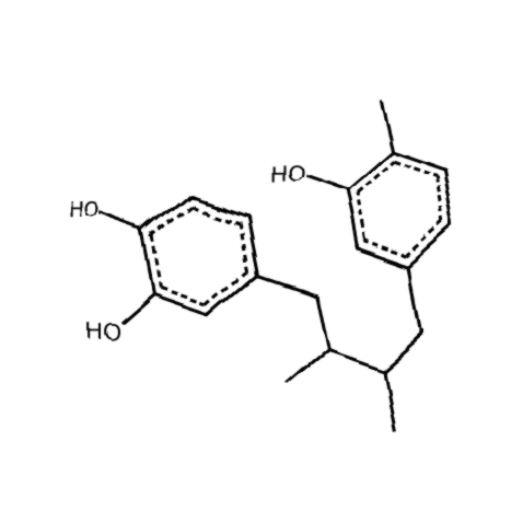 Cc1ccc(CC(C)C(C)Cc2ccc(O)c(O)c2)cc1O